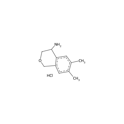 Cc1cc2c(cc1C)C(N)COC2.Cl